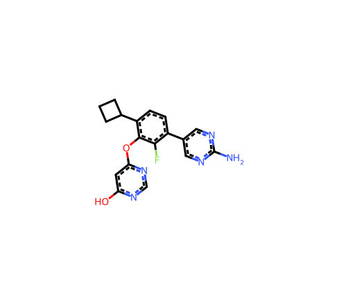 Nc1ncc(-c2ccc(C3CCC3)c(Oc3cc(O)ncn3)c2F)cn1